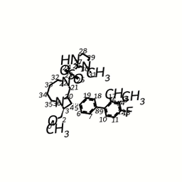 COC[C@@H]1[C@@H](c2ccc(-c3ccc(F)c(C)c3C)cc2)C2CN(S(=O)(=O)C3NCCN3C)CCCCN21